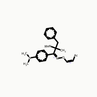 CNC(C)(Cc1ccccc1)/C(=N\O/C=C\C(C)=O)c1ccc(N(C)C)cc1